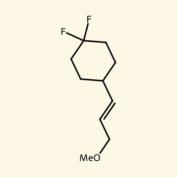 COC/C=C/C1CCC(F)(F)CC1